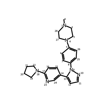 CN1CCN(c2ccc(-n3nccc3-c3ccc(N4CCCC4)nc3)cc2)CC1